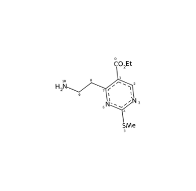 CCOC(=O)c1cnc(SC)nc1CCN